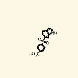 O=C(O)c1ccc(S(=O)(=O)c2ccc3cc[nH]c3c2)cc1